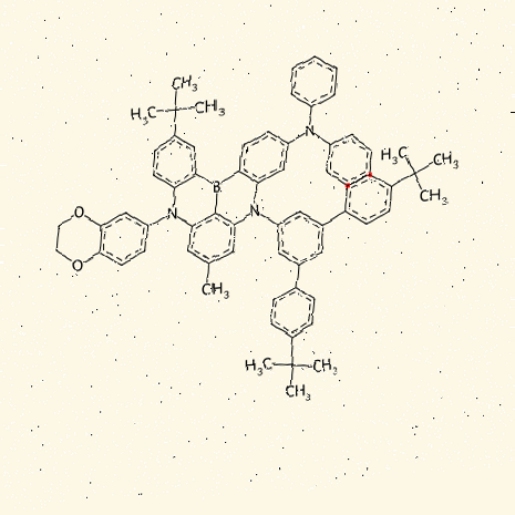 Cc1cc2c3c(c1)N(c1cc(-c4ccc(C(C)(C)C)cc4)cc(-c4ccc(C(C)(C)C)cc4)c1)c1cc(N(c4ccccc4)c4ccccc4)ccc1B3c1cc(C(C)(C)C)ccc1N2c1ccc2c(c1)OCCO2